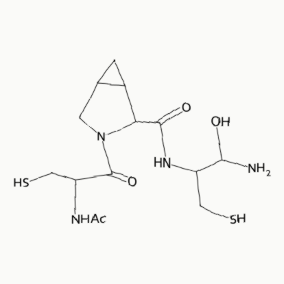 CC(=O)NC(CS)C(=O)N1CC2CC2C1C(=O)NC(CS)C(N)O